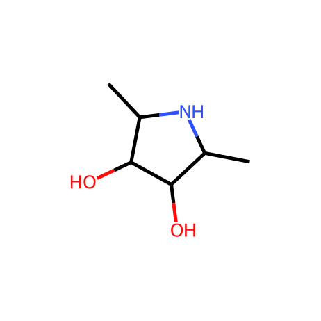 CC1NC(C)C(O)C1O